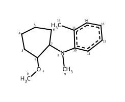 COC1CCCCC1N(C)c1ccccc1C